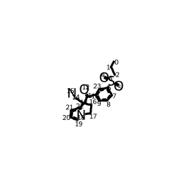 CCCS(=O)(=O)c1cccc(C(=O)C2(C#N)CCn3cccc32)c1